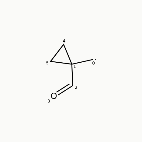 [CH2]C1(C=O)CC1